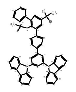 CCC(C)(CC)Oc1c(-c2ccccc2)cc(C(C)(CC)CC)cc1-c1ccc(-c2cc(-n3c4ccccc4c4ccccc43)cc(-n3c4ccccc4c4ccccc43)c2)cc1